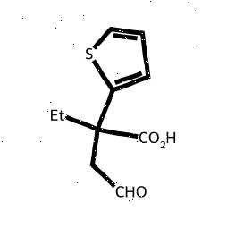 CCC(CC=O)(C(=O)O)c1cccs1